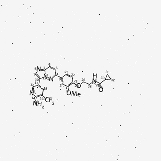 COc1cc(-c2ccc3ncc(-c4cnc(N)c(C(F)(F)F)c4)n3n2)ccc1OCCNC(=O)C1CC1